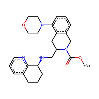 CC(C)(C)OC(=O)N1Cc2cccc(N3CCOCC3)c2CC1CN[C@H]1CCCc2cccnc21